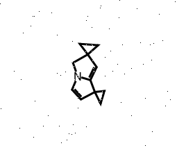 C1=CC2(CC2)C2=CC3(CC3)CN12